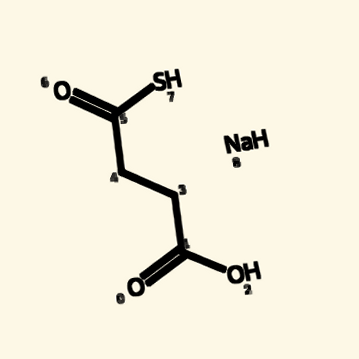 O=C(O)CCC(=O)S.[NaH]